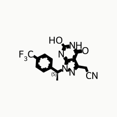 C[C@@H](c1ccc(C(F)(F)F)cc1)n1nc(CC#N)c2c(=O)[nH]c(O)nc21